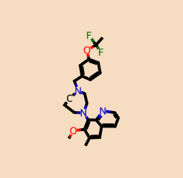 COc1c(C)cc2cccnc2c1N1CCCN(Cc2cccc(OC(C)(F)F)c2)CC1